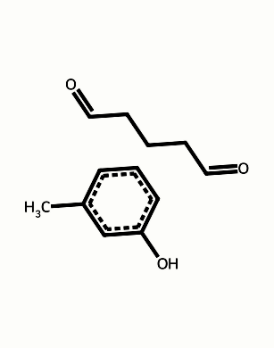 Cc1cccc(O)c1.O=CCCCC=O